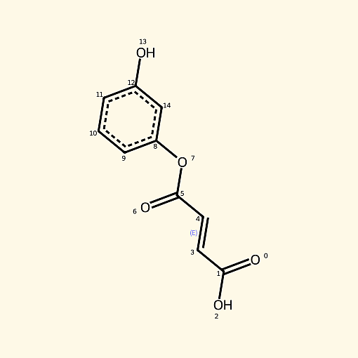 O=C(O)/C=C/C(=O)Oc1cccc(O)c1